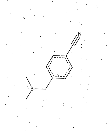 [CH3][Bi]([CH3])[CH2]c1ccc(C#N)cc1